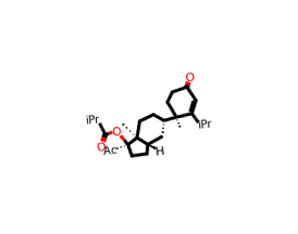 CC(=O)[C@@]1(OC(=O)C(C)C)CC[C@H]2C[C@@H]([C@@]3(C)CCC(=O)C=C3C(C)C)CC[C@@]21C